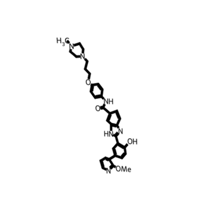 COc1ncccc1-c1ccc(O)c(-c2nc3ccc(C(=O)Nc4ccc(OCCCN5CCN(C)CC5)cc4)cc3[nH]2)c1